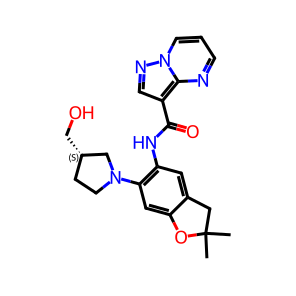 CC1(C)Cc2cc(NC(=O)c3cnn4cccnc34)c(N3CC[C@H](CO)C3)cc2O1